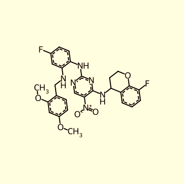 COc1ccc(CNc2cc(F)ccc2Nc2ncc([N+](=O)[O-])c(NC3CCOc4c(F)cccc43)n2)c(OC)c1